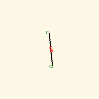 ClCCCCCCCCCCCCCCC=CCCOCOCOCCC=CCCCCCCCCCCCCCCCl